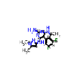 Cc1cc(Nc2cc(NC(C)c3ccc(F)cc3F)nc(N)n2)nn1C